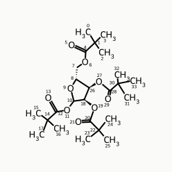 CC(C)(C)C(=O)OC[C@H]1OC(OC(=O)C(C)(C)C)[C@H](OC(=O)C(C)(C)C)[C@@H]1OC(=O)C(C)(C)C